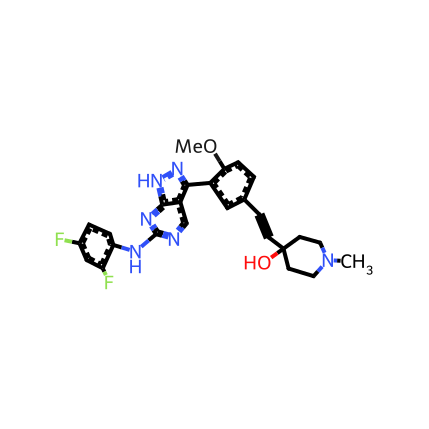 COc1ccc(C#CC2(O)CCN(C)CC2)cc1-c1n[nH]c2nc(Nc3ccc(F)cc3F)ncc12